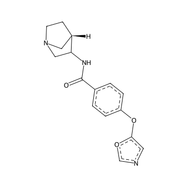 O=C(NC1CN2CC[C@H]1C2)c1ccc(Oc2cnco2)cc1